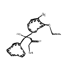 CCOc1cc(C(O)(C(=O)O)c2ccccc2)ccc1O